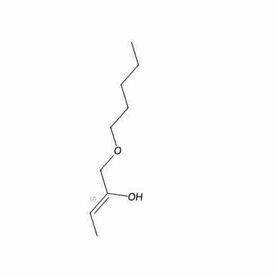 C/C=C(\O)COCCCCC